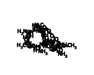 CCCC[C@H](NC(=O)CCOCCOCCOCCOCC)C(=O)N[C@@H](CCN)C(=O)N[C@H](C(=O)NNC(=O)N[C@H]1CCNC(=O)[C@H]([C@@H](C)O)NC(=O)[C@H](CCN)NC(=O)[C@H](CCN)NC(=O)[C@H](CC(C)C)NC(=O)CNC(=O)[C@H](CCN)NC1=O)[C@@H](C)O